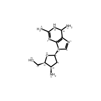 NC1=Nc2c(ncn2[C@H]2C[C@@H](N)[C@@H](CO)O2)C(N)N1